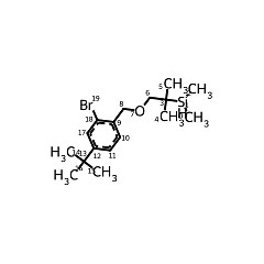 C[SiH](C)C(C)(C)COCc1ccc(C(C)(C)C)cc1Br